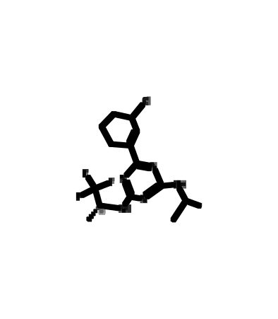 CC(C)Nc1nc(N[C@H](C)C(F)(F)F)nc(C2=CC(Cl)CCC2)n1